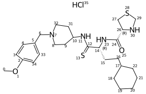 COc1ccc(CN2CCC(NC(=S)[C@@H](CCC3CCCCC3)NC(=O)[C@@H]3CSCN3)CC2)cc1.Cl